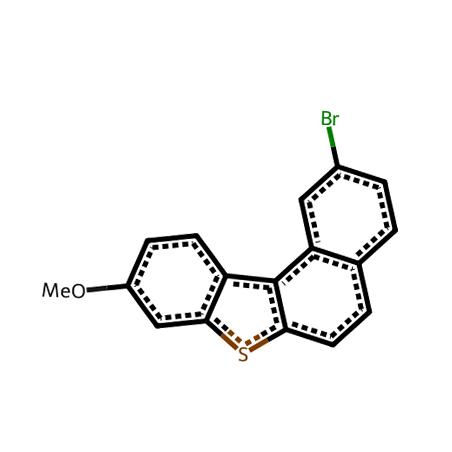 COc1ccc2c(c1)sc1ccc3ccc(Br)cc3c12